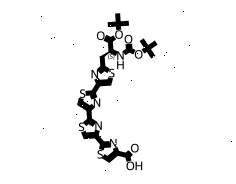 CC(C)(C)OC(=O)N[C@@H](Cc1nc(-c2nc(-c3nc(-c4nc(C(=O)O)cs4)cs3)cs2)cs1)C(=O)OC(C)(C)C